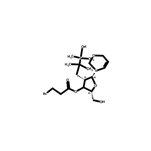 CC(=O)CCC(=O)OC1[C@@H](CO)O[C@@H](N2C=CCOC2)[C@H]1CC(C)(C)[Si](C)(C)O